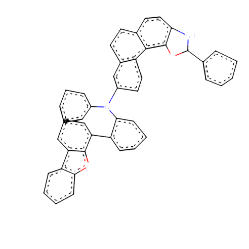 c1ccc(C2Nc3ccc4ccc5cc(N(c6ccccc6)c6ccccc6-c6cccc7c6oc6ccccc67)ccc5c4c3O2)cc1